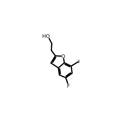 OCCc1cc2cc(F)cc(I)c2o1